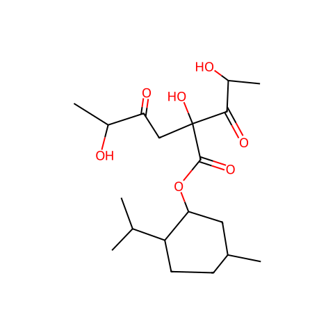 CC1CCC(C(C)C)C(OC(=O)C(O)(CC(=O)C(C)O)C(=O)C(C)O)C1